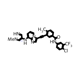 CN/C=C(\C=N)Nc1cccn2c(C#Cc3cc(C(=O)Nc4ccc(Cl)c(C(F)(F)F)c4)ccc3C)cnc12